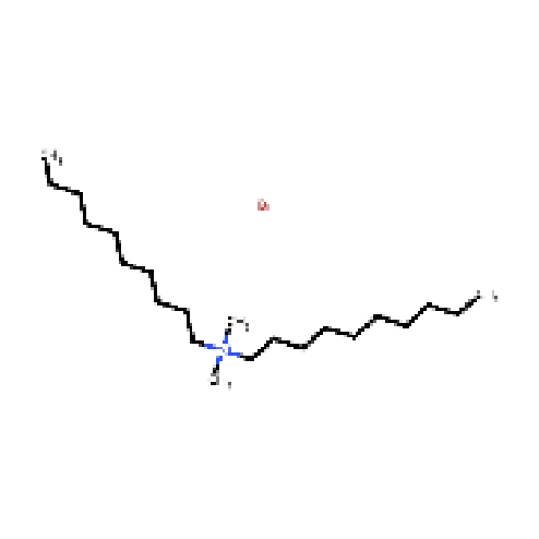 CCCCCCCCCC[N+](C)(C)CCCCCCCCCC.[Br-]